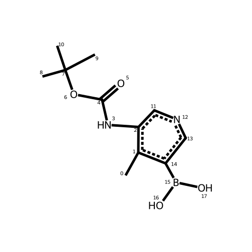 Cc1c(NC(=O)OC(C)(C)C)cncc1B(O)O